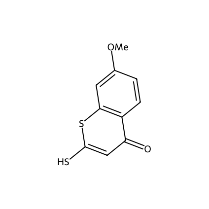 COc1ccc2c(=O)cc(S)sc2c1